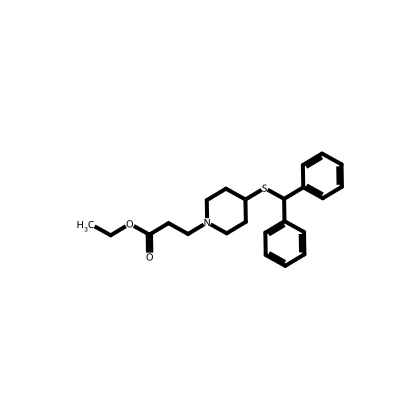 CCOC(=O)CCN1CCC(SC(c2ccccc2)c2ccccc2)CC1